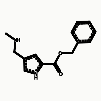 CNCc1c[nH]c(C(=O)OCc2ccccc2)c1